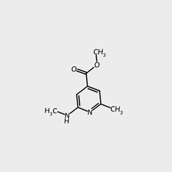 CNc1cc(C(=O)OC)cc(C)n1